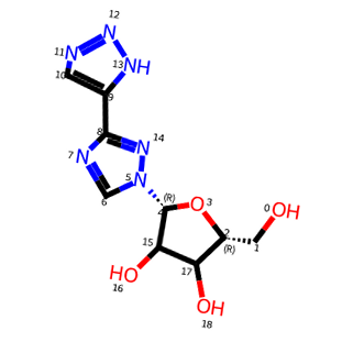 OC[C@H]1O[C@@H](n2cnc(-c3cnn[nH]3)n2)C(O)C1O